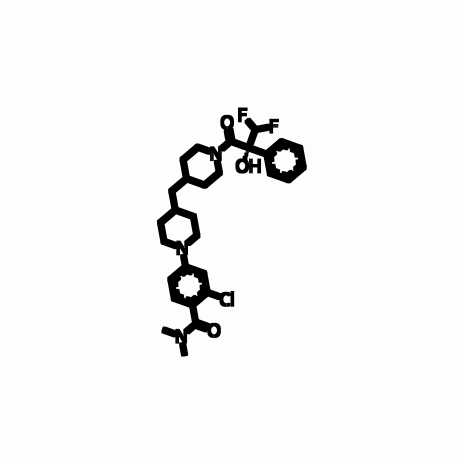 CN(C)C(=O)c1ccc(N2CCC(CC3CCN(C(=O)[C@](O)(c4ccccc4)C(F)F)CC3)CC2)cc1Cl